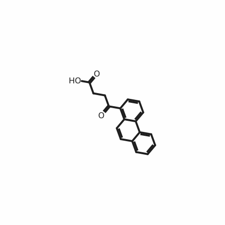 O=C(O)CCC(=O)c1cccc2c1ccc1ccccc12